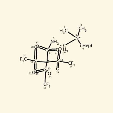 CCCCCCC[N+](C)(C)C.NS(=O)(=O)C(S(=O)(=O)C(F)(F)F)(S(=O)(=O)C(F)(F)F)S(=O)(=O)C(F)(F)F